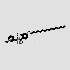 CCCCCCCCCCCCCCCCOc1ccc(C(=O)NCc2ccc[n+](CC)c2)c(Cl)c1.[I-]